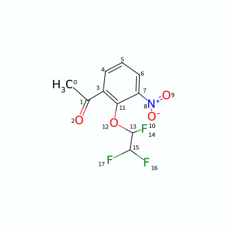 CC(=O)c1cccc([N+](=O)[O-])c1OC(F)C(F)F